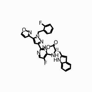 O=C(O)[C@H](Cc1cc2ccccc2[nH]1)Nc1nc(-c2cc(-c3ccon3)n(Cc3ccccc3F)n2)ncc1F